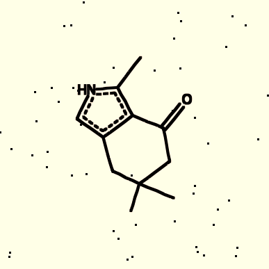 Cc1[nH]cc2c1C(=O)CC(C)(C)C2